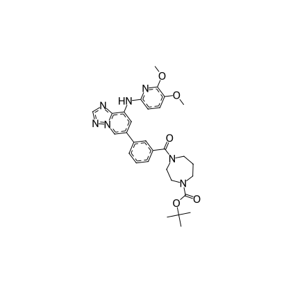 COc1ccc(Nc2cc(-c3cccc(C(=O)N4CCCN(C(=O)OC(C)(C)C)CC4)c3)cn3ncnc23)nc1OC